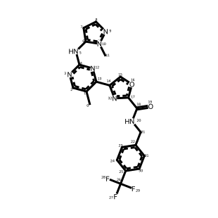 Cc1cnc(Nc2ccnn2C)nc1-c1coc(C(=O)NCc2ccc(C(F)(F)F)cc2)n1